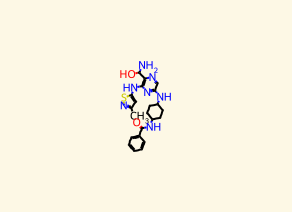 Cc1cc(Nc2nc(NC3CCC(NC(=O)c4ccccc4)CC3)cnc2C(N)O)sn1